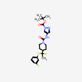 CC(C)(C)OC(=O)n1cc(NC(=O)N2CCC(C(C)(F)Sc3cccc(F)c3)CC2)cn1